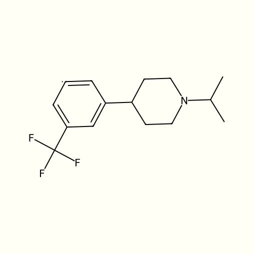 CC(C)N1CCC(c2c[c]cc(C(F)(F)F)c2)CC1